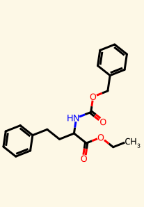 CCOC(=O)C(CCc1ccccc1)NC(=O)OCc1ccccc1